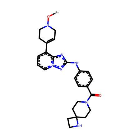 CCON1CC=C(c2cccn3nc(Nc4ccc(C(=O)N5CCC6(CCN6)CC5)cc4)nc23)CC1